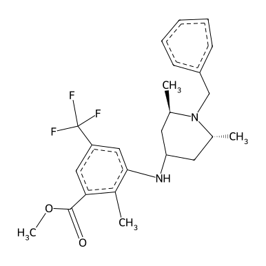 COC(=O)c1cc(C(F)(F)F)cc(NC2C[C@@H](C)N(Cc3ccccc3)[C@H](C)C2)c1C